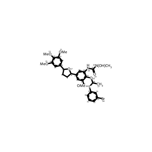 COc1cc(C2CCC(c3cc(OC)c(OC)c(OC)c3)O2)cc(NC(=O)N(C)O)c1OC(C)Sc1cccc(Br)c1